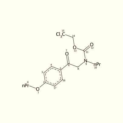 CCCOc1ccc(C(=O)CN(CCC)C(=O)OCC(Cl)(Cl)Cl)cc1